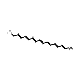 C/C=C/C=C/C=C/C=C/C=C/C=C/C=C/CO